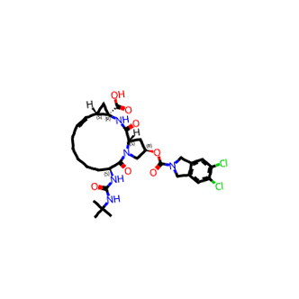 CC(C)(C)NC(=O)N[C@H]1CCCCCC=C[C@@H]2C[C@@]2(C(=O)O)NC(=O)[C@@H]2C[C@@H](OC(=O)N3Cc4cc(Cl)c(Cl)cc4C3)CN2C1=O